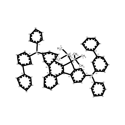 C[Si](C)(C)C1([Si](C)(C)C)c2cc(N(c3ccccc3)c3cccc(-c4ccccc4)c3)ccc2-c2c1c1ccc(N(c3ccccc3)c3cccc(-c4ccccc4)c3)cc1c1ccccc21